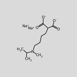 CC(C)N(C)CCCCC(C(=O)[O-])C(=O)[O-].[Na+].[Na+]